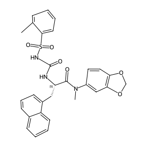 Cc1ccccc1S(=O)(=O)NC(=O)N[C@@H](Cc1cccc2ccccc12)C(=O)N(C)c1ccc2c(c1)OCO2